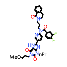 CCCn1c(=O)n(CCCOC)c(=O)c2[nH]c(-c3ccc(N(CCCN4CCc5ccccc5C4=O)C(=O)c4ccc(F)c(F)c4)nc3)nc21